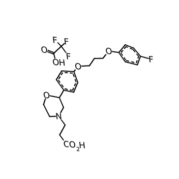 O=C(O)C(F)(F)F.O=C(O)CCN1CCOC(c2ccc(OCCCOc3ccc(F)cc3)cc2)C1